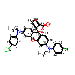 CN(C1=CC=C(Cl)CC1)C1=CC=C2C(C1)Oc1cc(N(C)c3ccc(Cl)cc3)ccc1C21OC(=O)c2ccccc21